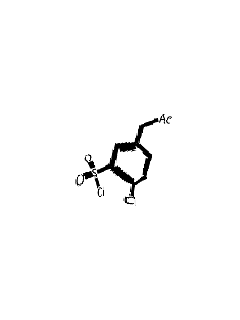 CC(=O)Cc1ccc(Cl)c(S(=O)(=O)Cl)c1